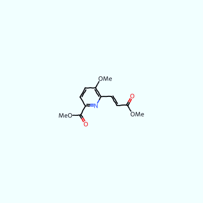 COC(=O)/C=C/c1nc(C(=O)OC)ccc1OC